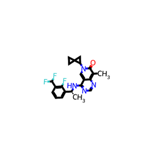 Cc1c(=O)n(C2CC23CC3)cc2c(N[C@H](C)c3cccc(C(F)F)c3F)ncnc12